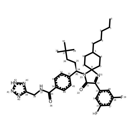 CCCCCC1CCC2(CC1)N=C(c1cc(F)cc(F)c1)C(=O)N2[C@H](CCC(C)(C)C)c1ccc(C(=O)NCc2nn[nH]n2)cc1